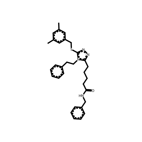 Cc1cc(C)cc(CSc2nnc(CCCCC(=O)NCc3ccccc3)n2CCc2ccccc2)c1